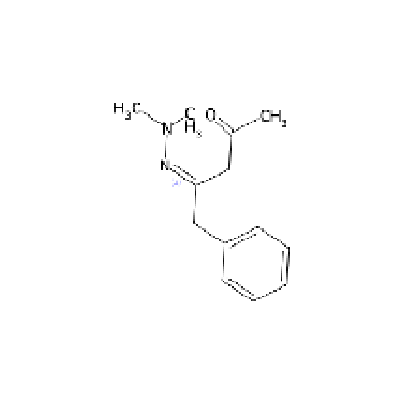 CC(=O)C/C(Cc1ccccc1)=N\N(C)C